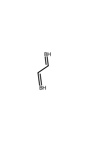 B=CC=B